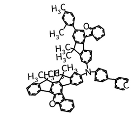 Cc1ccc(-c2cc3c(c4c2oc2ccccc24)-c2ccc(N(c4ccc(-c5ccccc5)cc4)c4ccc5c(c4)C(C)(C)c4c6c(c7oc8ccccc8c7c4-5)-c4ccccc4C6(C)C)cc2C3(C)C)c(C)c1